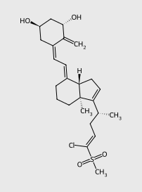 C=C1/C(=C\C=C2/CCC[C@]3(C)C([C@H](C)C/C=C(\Cl)S(C)(=O)=O)=CC[C@@H]23)C[C@@H](O)C[C@@H]1O